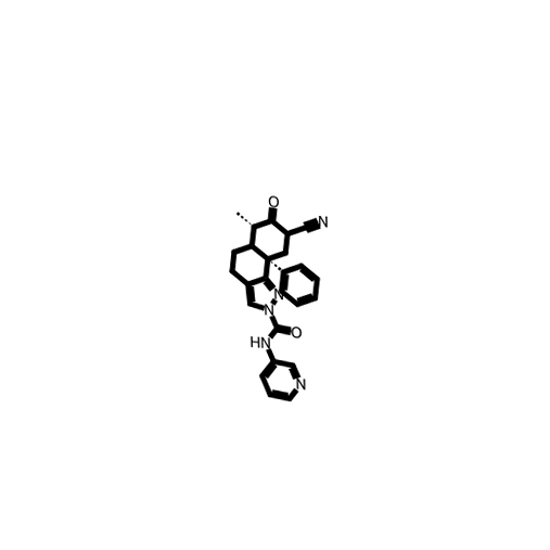 C[C@@H]1C(=O)C(C#N)C[C@@]2(c3ccccc3)c3nn(C(=O)Nc4cccnc4)cc3CCC12